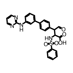 O=CC(c1ccc(-c2cccc(Nc3ncccn3)c2)cc1)C(NS(=O)(=O)c1ccccc1)C(=O)O